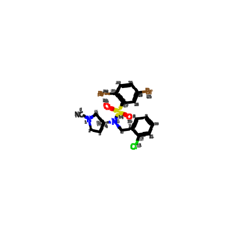 N#CN1CC[C@@H](N(Cc2ccccc2Cl)S(=O)(=O)c2cc(Br)ccc2Br)C1